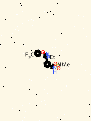 CCn1nc(Oc2ccc(C(F)(F)F)cc2)cc1-c1cccc(C(C)(C)NS(=O)(=O)NC)c1